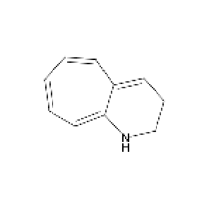 C1=CC=C2NCCC=C2C=C1